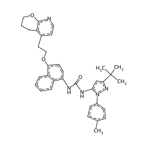 Cc1ccc(-n2nc(C(C)(C)C)cc2NC(=O)Nc2ccc(OCCc3ccnc4c3CCCO4)c3ccccc23)cc1